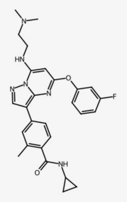 Cc1cc(-c2cnn3c(NCCN(C)C)cc(Oc4cccc(F)c4)nc23)ccc1C(=O)NC1CC1